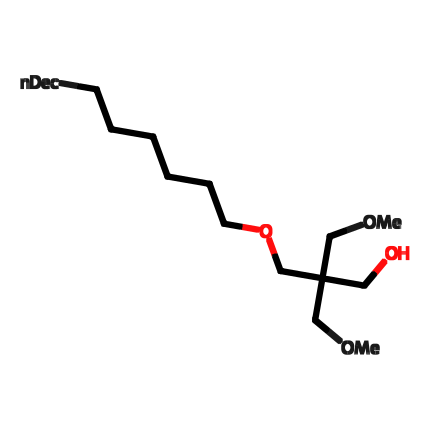 CCCCCCCCCCCCCCCCOCC(CO)(COC)COC